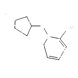 COC1=CC=CCN1OC1CC[C@H](I)C1